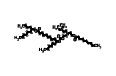 CCCCCCCCCC(=O)OCCN(CCOC(=O)OC(CCCCCC)CCCCCCCCC(=O)OCC(CCCC)CCCCCC)CCN(CC)CC